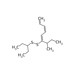 C=C/C=C\C=C(\SSC(CC)CC)C(C)CC